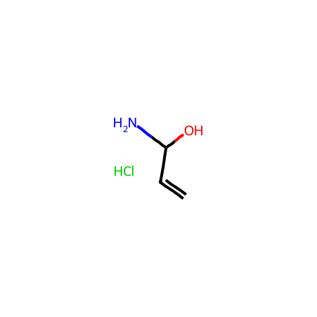 C=CC(N)O.Cl